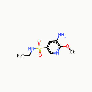 CCOc1ncc(S(=O)(=O)NCC(F)(F)F)cc1N